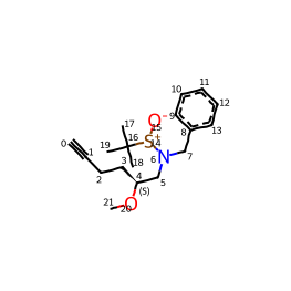 C#CCC[C@@H](CN(Cc1ccccc1)[S+]([O-])C(C)(C)C)OC